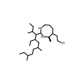 C=C1NC(C(C(C)CC)C(CC)CC(C)CCC(C)CC)NCCCC1CCS